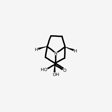 O=C(O)N1[C@@H]2CC[C@H]1C[C@H](O)C2